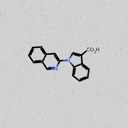 O=C(O)c1cn(-c2cc3ccccc3cn2)c2ccccc12